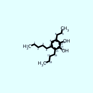 CCCCCc1cc(CCC)c(O)c(O)c1CCCC